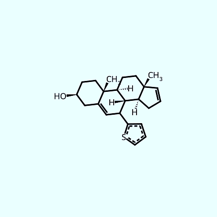 C[C@@]12C=CC[C@H]1[C@@H]1C(c3cccs3)C=C3C[C@@H](O)CC[C@]3(C)[C@H]1CC2